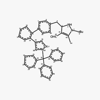 CCCCN1NC(Cc2ccc(-c3ccccc3-c3nnn(C(c4ccccc4)(c4ccccc4)c4ccccc4)n3)cc2)C(C=O)=C1C